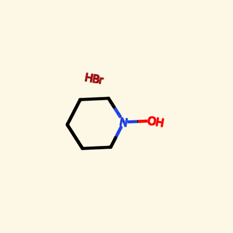 Br.ON1CCCCC1